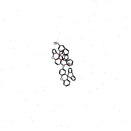 CC(C)(C)c1ccc2c(c1)C1(c3ccccc3Oc3ccc(N(c4ccc5c(c4)C4(c6ccccc6O5)c5ccccc5-c5ccccc54)c4ccccc4-c4cccc5ccccc45)cc31)c1cc(C(C)(C)C)ccc1-2